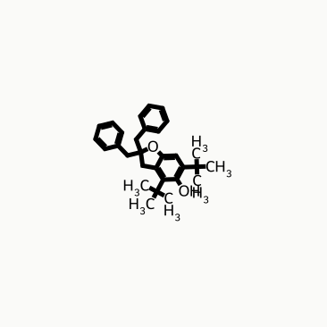 CC(C)(C)c1cc2c(c(C(C)(C)C)c1O)CC(Cc1ccccc1)(Cc1ccccc1)O2